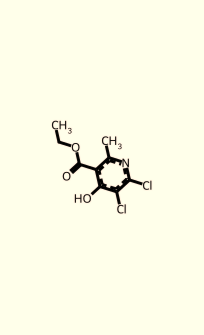 CCOC(=O)c1c(C)nc(Cl)c(Cl)c1O